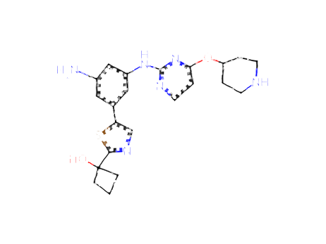 Nc1cc(Nc2nccc(OC3CCNCC3)n2)cc(-c2cnc(C3(O)CCC3)s2)c1